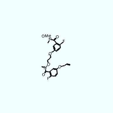 C=CCOc1ccc(F)c(C(=O)N(C)OCCOc2ccc(F)c(C(=O)N(C)OC)c2)c1